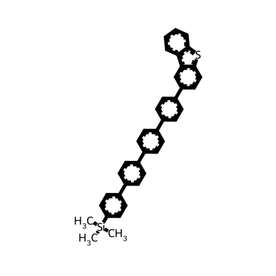 C[Si](C)(C)c1ccc(-c2ccc(-c3ccc(-c4ccc(-c5ccc6sc7ccccc7c6c5)cc4)cc3)cc2)cc1